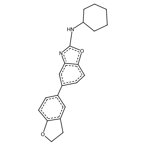 c1cc2c(cc1-c1ccc3oc(NC4CCCCC4)nc3c1)CCO2